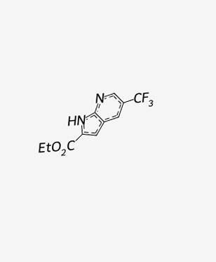 CCOC(=O)c1cc2cc(C(F)(F)F)cnc2[nH]1